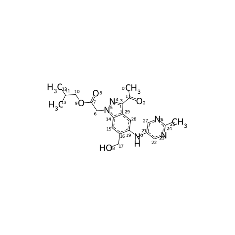 CC(=O)c1nn(CC(=O)OCC(C)C)c2cc(CO)c(Nc3cnc(C)nc3)cc12